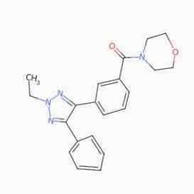 CCn1nc(-c2ccccc2)c(-c2cccc(C(=O)N3CCOCC3)c2)n1